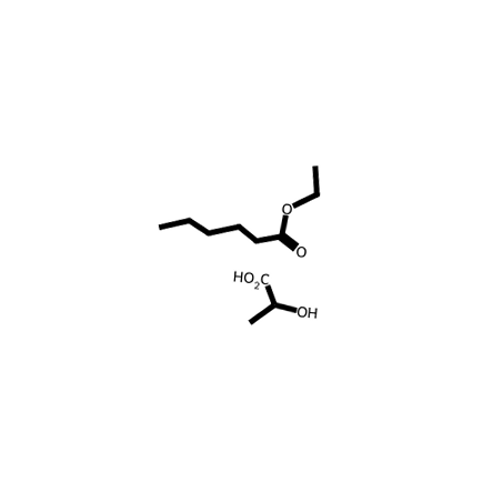 CC(O)C(=O)O.CCCCCC(=O)OCC